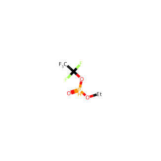 CCO[PH](=O)OC(F)(F)C(F)(F)F